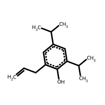 C=CCc1cc(C(C)C)cc(C(C)C)c1O